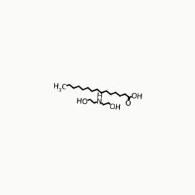 CCCCCCCCCCCCCCC(=O)O.OCCNCCO